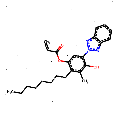 C=CC(=O)Oc1cc(-n2nc3ccccc3n2)c(O)c(C)c1CCCCCCCC